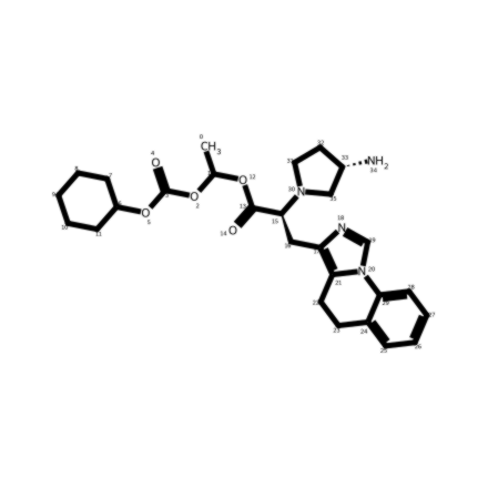 CC(OC(=O)OC1CCCCC1)OC(=O)[C@H](Cc1ncn2c1CCc1ccccc1-2)N1CC[C@H](N)C1